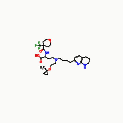 CC1(OCCN(CCCCc2ccc3c(n2)NCCC3)CCC(NC(=O)C2(C(F)(F)F)CCOCC2)C(=O)O)CC1